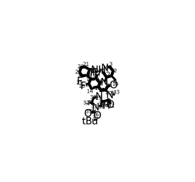 Cc1ccnc(C(C)C)c1-n1c(=O)c2c(c3cc(F)c(-c4c(N)cccc4F)c(F)c31)N1C[C@@H](C)N(C(=O)OC(C)(C)C)C[C@@H]1C(=O)N2C